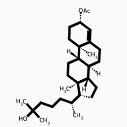 CC(=O)O[C@@H]1C=C2CC[C@H]3[C@@H]4CC[C@H]([C@H](C)CCCC(C)(C)O)[C@@]4(C)CC[C@@H]3[C@@]2(C)CC1